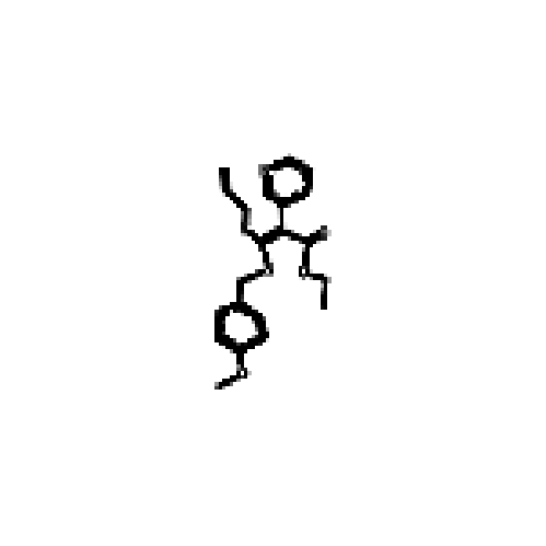 C=CCS/C(SCc1ccc(OC)cc1)=C(/C(=O)OCC)c1cccnc1